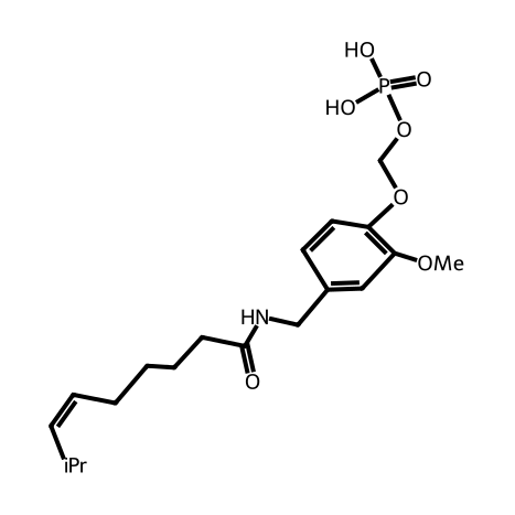 COc1cc(CNC(=O)CCCC/C=C\C(C)C)ccc1OCOP(=O)(O)O